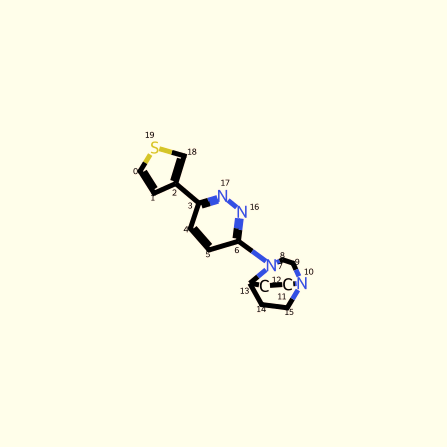 c1cc(-c2ccc(N3CCN4CCC3CC4)nn2)cs1